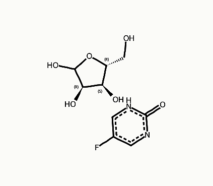 O=c1ncc(F)c[nH]1.OC[C@H]1OC(O)[C@H](O)[C@@H]1O